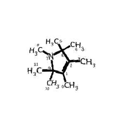 CC1=C(C)C(C)(C)N(C)C1(C)C